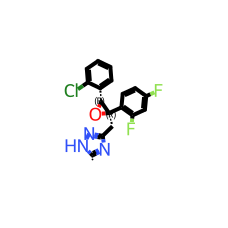 Fc1ccc([C@@]2(Cc3n[c][nH]n3)O[C@@H]2c2ccccc2Cl)c(F)c1